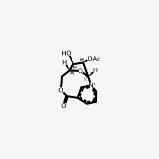 CC(=O)O[C@@H]1[C@H](O)[C@H]2COC(=O)c3ccc[n+](c3)[C@@H]1O2